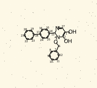 OC1=C(O)N(OCc2ccccc2)C(c2ccc(-c3ccccc3)cc2)N=C1